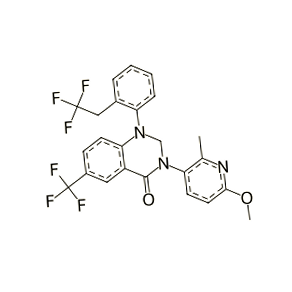 COc1ccc(N2CN(c3ccccc3CC(F)(F)F)c3ccc(C(F)(F)F)cc3C2=O)c(C)n1